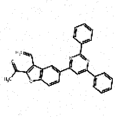 C=Cc1c(C(=C)C)oc2ccc(-c3cc(-c4ccccc4)nc(-c4ccccc4)n3)cc12